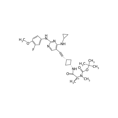 COc1ccc(Nc2ncc(C#C[C@H]3C[C@@H](NC(=O)[C@H](C)N(C)C(=O)OC(C)(C)C)C3)c(NC3CC3)n2)cc1F